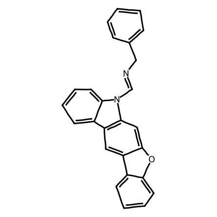 C(=N\Cc1ccccc1)/n1c2ccccc2c2cc3c(cc21)oc1ccccc13